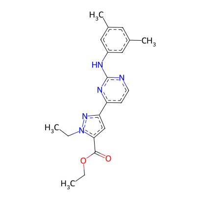 CCOC(=O)c1cc(-c2ccnc(Nc3cc(C)cc(C)c3)n2)nn1CC